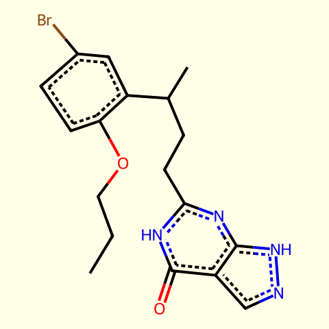 CCCOc1ccc(Br)cc1C(C)CCc1nc2[nH]ncc2c(=O)[nH]1